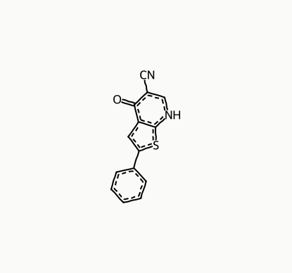 N#Cc1c[nH]c2sc(-c3ccccc3)cc2c1=O